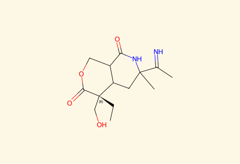 CC[C@@]1(CO)C(=O)OCC2C(=O)NC(C)(C(C)=N)CC21